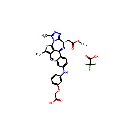 COC(=O)C[C@@H]1N=C(c2ccc(Nc3cccc(OCC(=O)O)c3)cc2)c2c(sc(C)c2C)-n2c(C)nnc21.O=C(O)C(F)(F)F